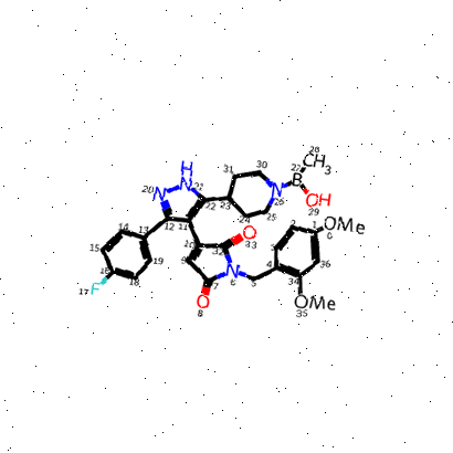 COc1ccc(CN2C(=O)C=C(c3c(-c4ccc(F)cc4)n[nH]c3C3CCN(B(C)O)CC3)C2=O)c(OC)c1